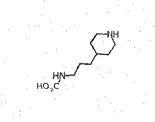 O=C(O)NCCCC1CCNCC1